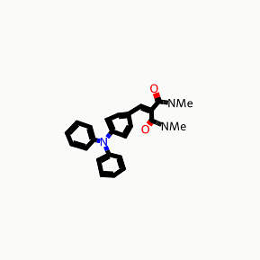 CNC(=O)C(=Cc1ccc(N(c2ccccc2)c2ccccc2)cc1)C(=O)NC